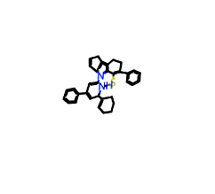 CSC1=C(c2ccccc2)CCc2c3c(n(C4=CC(c5ccccc5)=CC(C5=CCCCC5)N4)c21)C=CC3